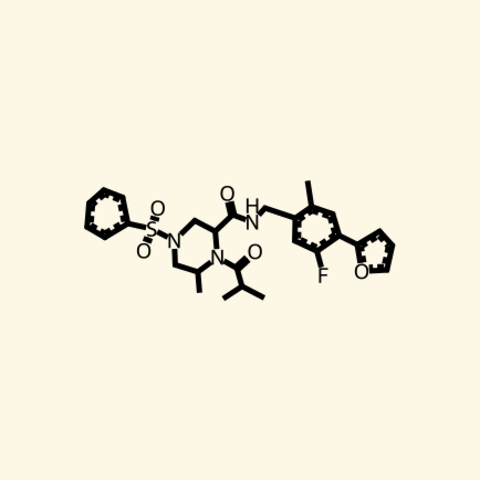 Cc1cc(-c2ccco2)c(F)cc1CNC(=O)C1CN(S(=O)(=O)c2ccccc2)CC(C)N1C(=O)C(C)C